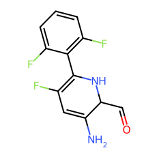 NC1=CC(F)=C(c2c(F)cccc2F)NC1C=O